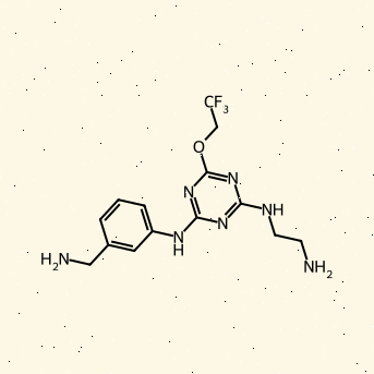 NCCNc1nc(Nc2cccc(CN)c2)nc(OCC(F)(F)F)n1